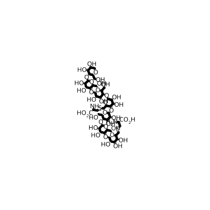 N[C@H](CSCC1O[C@@H](O[C@@H]2C(CO)O[C@H](O[C@@H]3C(CO)O[C@H](O[C@@H]4C(CO)OCC(O)[C@H]4O)[C@@H](O)C3O)[C@@H](O)C2O)[C@@H](O)C(O)[C@@H]1O[C@@H]1OC(CO)[C@@H](O[C@@H]2OC(CO)[C@@H](O[C@H]3OC(CSC[C@@H](N)C(=O)O)[C@@H](O)[C@H](O)C3O)C(O)[C@@H]2O)C(O)[C@@H]1O)C(=O)O